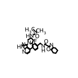 CN(C)C(=O)N[C@@H]1CCN(c2n[nH]c3nccc(-c4ccc(CNC(=O)c5nc6c(o5)CCCC6)c(F)c4)c23)C1